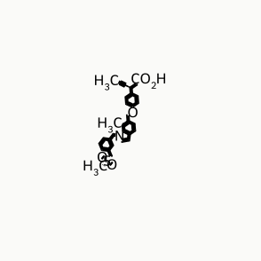 CC#C[C@@H](CC(=O)O)c1ccc(OCc2ccc3ccn(Cc4cccc(CS(C)(=O)=O)c4)c3c2C)cc1